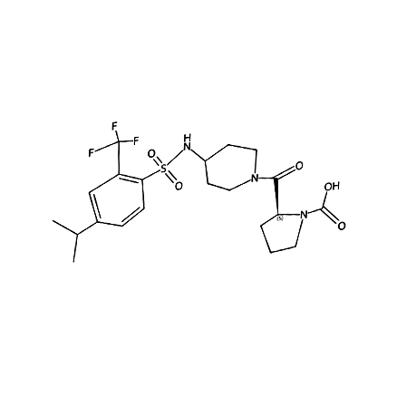 CC(C)c1ccc(S(=O)(=O)NC2CCN(C(=O)[C@@H]3CCCN3C(=O)O)CC2)c(C(F)(F)F)c1